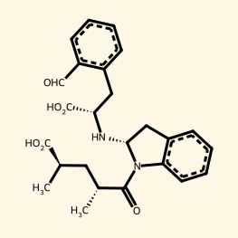 C[C@H](C[C@@H](C)C(=O)N1c2ccccc2C[C@H]1N[C@@H](Cc1ccccc1C=O)C(=O)O)C(=O)O